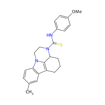 COc1ccc(NC(=S)N2CCn3c4c(c5cc(C)ccc53)CCCC42)cc1